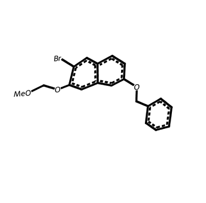 COCOc1cc2cc(OCc3ccccc3)ccc2cc1Br